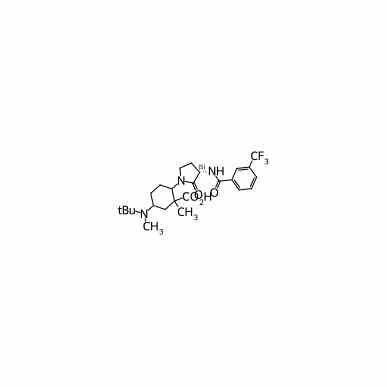 CN(C1CCC(N2CC[C@H](NC(=O)c3cccc(C(F)(F)F)c3)C2=O)C(C)(C(=O)O)C1)C(C)(C)C